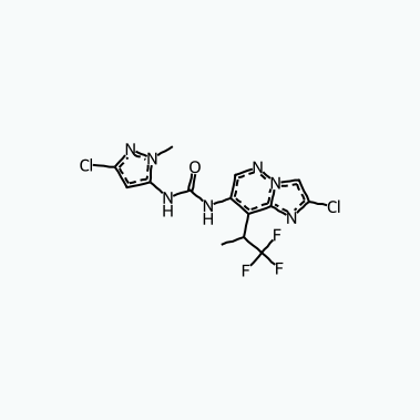 CC(c1c(NC(=O)Nc2cc(Cl)nn2C)cnn2cc(Cl)nc12)C(F)(F)F